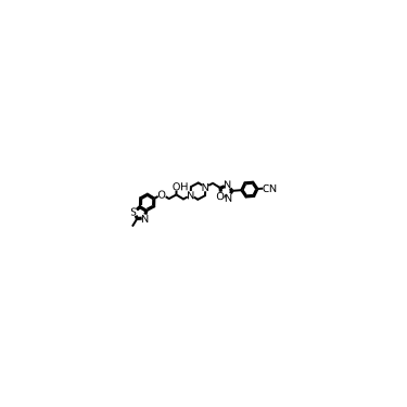 Cc1nc2cc(OCC(O)CN3CCN(Cc4nc(-c5ccc(C#N)cc5)no4)CC3)ccc2s1